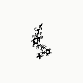 CCOC(=O)[C@H](F)ON1C(=O)N2C[C@H]1C=C(C)[C@H]2C(=O)NOC[C@@H]1CCCN1C(=O)OC(C)(C)C